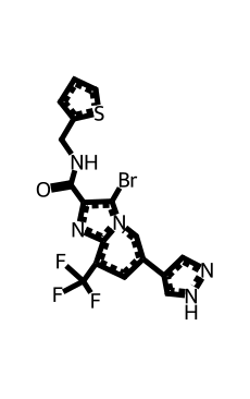 O=C(NCc1cccs1)c1nc2c(C(F)(F)F)cc(-c3cn[nH]c3)cn2c1Br